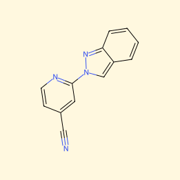 N#Cc1ccnc(-n2cc3ccccc3n2)c1